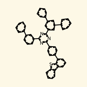 c1ccc(-c2cccc(-c3nc(-c4ccc(-c5cccc6c5sc5ccccc56)cc4)nc(-c4cc(-c5ccccc5)cc(-c5ccccc5)c4)n3)c2)cc1